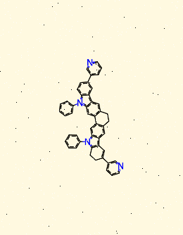 C1=C(c2cccnc2)CCc2c1c1cc3c(cc1n2-c1ccccc1)-c1cc2c(cc1CC3)c1cc(-c3cccnc3)ccc1n2-c1ccccc1